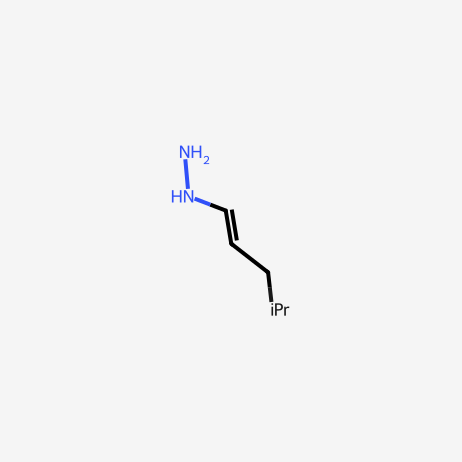 CC(C)C/C=C/NN